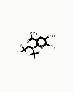 COC(=O)c1cc(C(=O)O)c(C(F)(F)F)nc1N(CC(F)(F)C(F)(F)F)C(F)(F)Cl